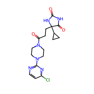 O=C1NC(=O)C(CCC(=O)N2CCN(c3nccc(Cl)n3)CC2)(C2CC2)N1